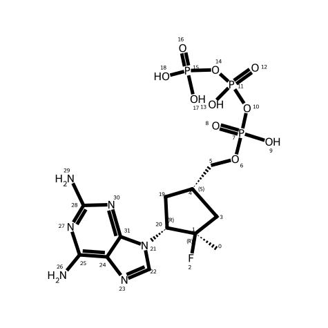 C[C@@]1(F)C[C@@H](COP(=O)(O)OP(=O)(O)OP(=O)(O)O)C[C@H]1n1cnc2c(N)nc(N)nc21